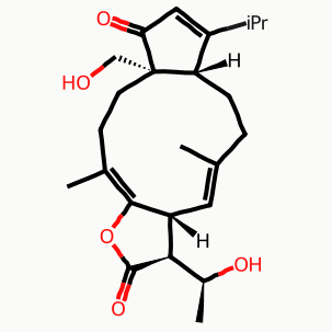 C/C1=C\[C@H]2/C(=C(/C)CC[C@@]3(CO)C(=O)C=C(C(C)C)[C@@H]3CC1)OC(=O)[C@@H]2[C@H](C)O